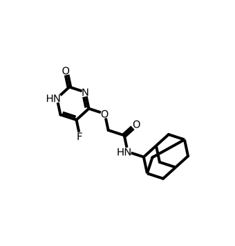 O=C(COc1nc(=O)[nH]cc1F)NC1C2CC3CC(C2)CC1C3